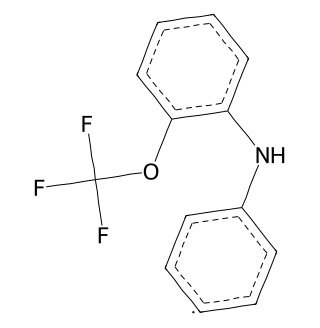 FC(F)(F)Oc1ccccc1Nc1cc[c]cc1